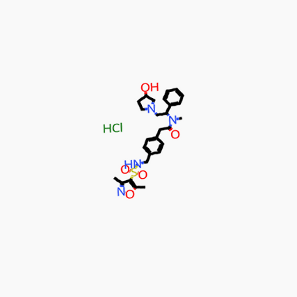 Cc1noc(C)c1S(=O)(=O)NCc1ccc(CC(=O)N(C)C(CN2CCC(O)C2)c2ccccc2)cc1.Cl